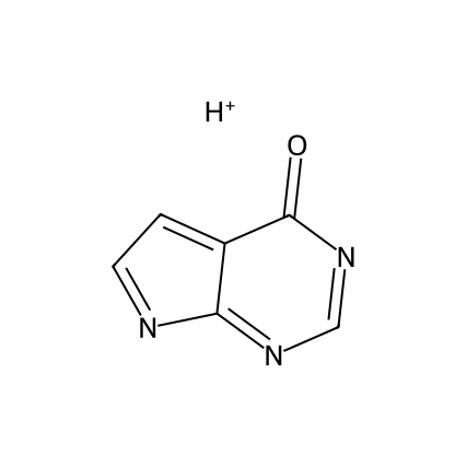 O=C1N=CN=C2N=CC=C12.[H+]